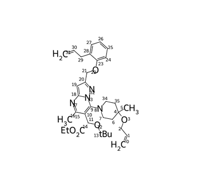 C=CCOC1(C)CCN(c2c([C@H](OC(C)(C)C)C(=O)OCC)c(C)nc3cc(COc4ccccc4CC=C)nn23)CC1